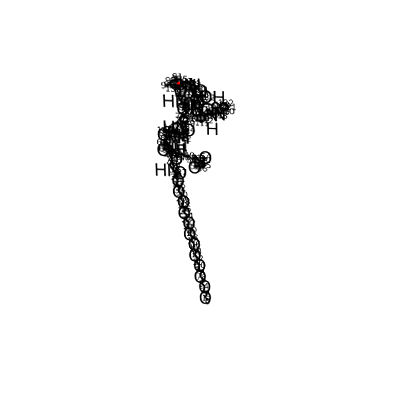 COCCOCCOCCOCCOCCOCCOCCOCCOCCOCCOCCOCC(=O)NCCCC[C@@H](NC(=O)CCCCCN1C(=O)C=CC1=O)C(=O)N[C@H](C)C(=O)N[C@H](C(=O)N[C@@H](C)C(=O)Nc1ccc(COC(=O)NCCOC23CC4(C)CC(C)(CC(Cn5ncc(-c6ccc(N7CCc8cccc(C(=O)Nc9nc%10ccccc%10s9)c8C7)nc6C(=O)O)c5C)(C4)C2)C3)cc1)C(C)C